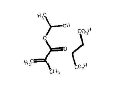 C=C(C)C(=O)OC(C)O.O=C(O)CCC(=O)O